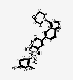 O=S(=O)(Nc1cc(-c2ccc3ncnc(N4CCOCC4)c3c2)cnc1O)c1ccc(F)cc1F